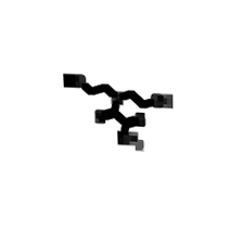 NC(=S)C(=S)N(CCO)CCO